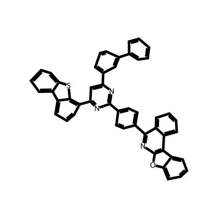 c1ccc(-c2cccc(-c3cc(-c4cccc5c4sc4ccccc45)nc(-c4ccc(-c5nc6oc7ccccc7c6c6ccccc56)cc4)n3)c2)cc1